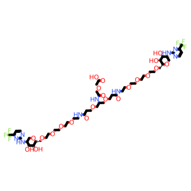 O=C(O)COCC(=O)NC(COCCC(=O)NCCOCCOCCOCCOC[C@H]1OC[C@H](Nc2nccc(C(F)(F)F)n2)[C@@H](O)[C@H]1O)COCCC(=O)NCCOCCOCCOCCOC[C@H]1OC[C@H](Nc2nccc(C(F)(F)F)n2)[C@@H](O)[C@H]1O